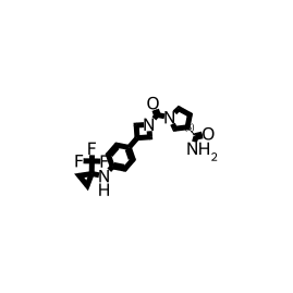 NC(=O)[C@H]1CCN(C(=O)N2CC(c3ccc(NC4(C(F)(F)F)CC4)cc3)C2)C1